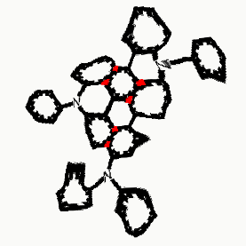 c1ccc(N(c2ccccc2)c2ccc(-c3ccc(N(c4ccccc4)c4ccccc4-c4ccc(-c5ccccc5N(c5ccccc5)c5ccccc5)cc4)cc3)cc2)cc1